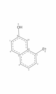 C[CH]c1cccc2ccc(O)cc12